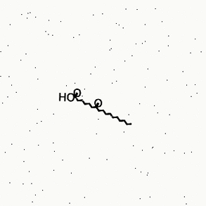 CCCCCCCCCCC(=O)CCCCCC(=O)O